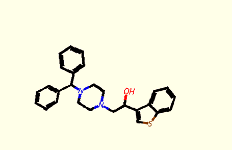 OC(CN1CCN(C(c2ccccc2)c2ccccc2)CC1)c1csc2ccccc12